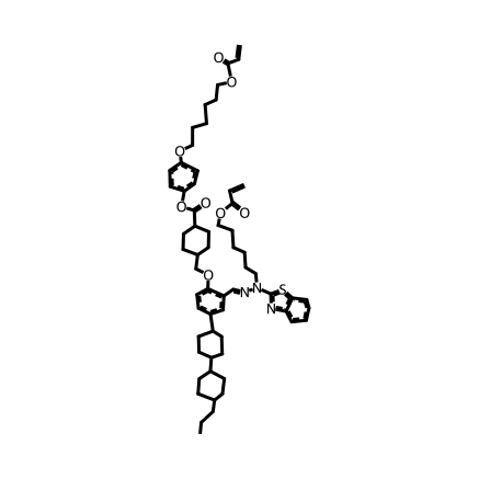 C=CC(=O)OCCCCCCOc1ccc(OC(=O)C2CCC(COc3ccc(C4CCC(C5CCC(CCC)CC5)CC4)cc3/C=N/N(CCCCCCOC(=O)C=C)c3nc4ccccc4s3)CC2)cc1